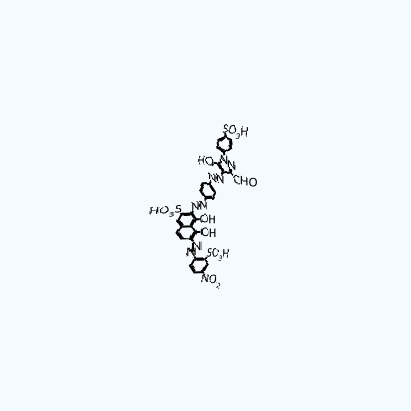 O=Cc1nn(-c2ccc(S(=O)(=O)O)cc2)c(O)c1N=Nc1ccc(N=Nc2c(S(=O)(=O)O)cc3ccc(N=Nc4ccc([N+](=O)[O-])cc4S(=O)(=O)O)c(O)c3c2O)cc1